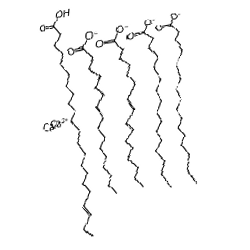 CCCCCCCCCCCCCCCC(=O)[O-].CCCCCCCCCCCCCCCC(=O)[O-].CCCCCCCCCCCCCCCC(=O)[O-].CCCCCCCCCCCCCCCC(=O)[O-].CCCCCCCCCCCCCCCCCCCCCC(=O)O.[Ca+2].[Ca+2]